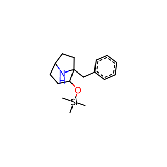 C[Si](C)(C)OC1CCC2CCC1(Cc1ccccc1)N2